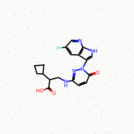 O=C(O)C(CNc1ccc(=O)n(-c2c[nH]c3ncc(F)cc23)n1)C1CCC1